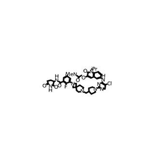 CNC(=O)COc1cc2cc(Nc3nc(N4CCC(CN5CCC6(CC5)CN(c5cccc(C(=O)NC7CCC(=O)NC7=O)c5F)C6)CC4)ncc3Cl)ccc2n(C(C)C)c1=O